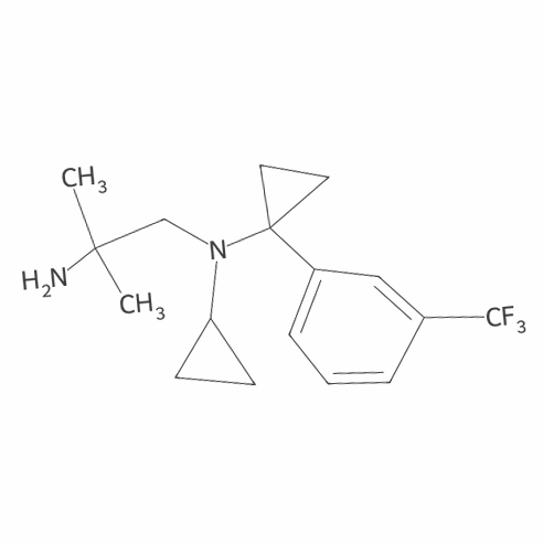 CC(C)(N)CN(C1CC1)C1(c2cccc(C(F)(F)F)c2)CC1